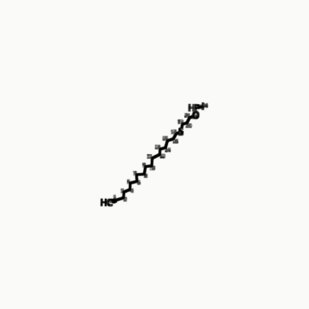 C#CCCCCCCCCCCCCCCCCSCCCOPI